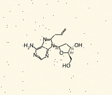 C=CCc1nc2c(N)ncnc2n1[C@H]1C[C@H](O)[C@@H](CO)O1